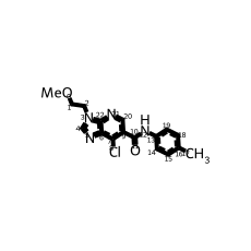 COCCn1cnc2c(Cl)c(C(=O)Nc3ccc(C)cc3)cnc21